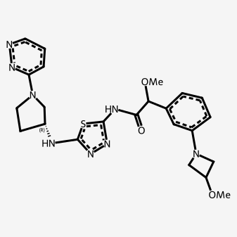 COC1CN(c2cccc(C(OC)C(=O)Nc3nnc(N[C@@H]4CCN(c5cccnn5)C4)s3)c2)C1